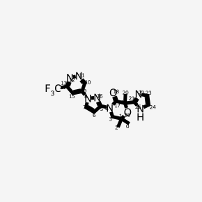 CC1(C)CN(c2ccn(-c3cnnc(C(F)(F)F)c3)n2)C(=O)C(C)(c2ncc[nH]2)O1